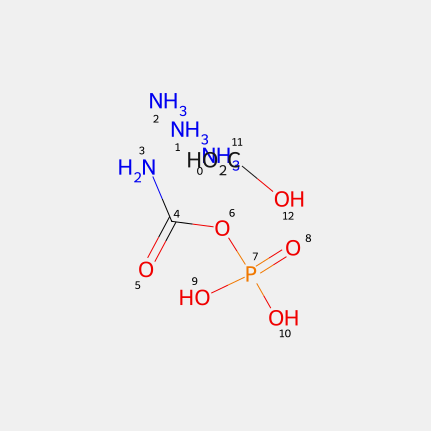 N.N.N.NC(=O)OP(=O)(O)O.O=C(O)O